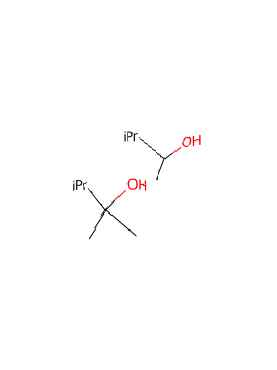 CC(C)C(C)(C)O.CC(C)C(C)O